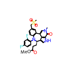 COC(=O)CC[C@@H]1c2c[nH]c3c(=O)n(C)cc(c23)-c2cc(CS(C)(=O)=O)ccc2N1c1ccc(F)cc1F